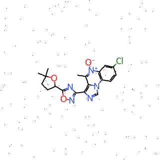 Cc1c2c(-c3noc(C4CCC(C)(C)O4)n3)ncn2c2ccc(Cl)cc2[n+]1[O-]